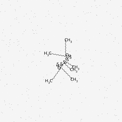 CCCCCCCCCCCCC1(CCCCCCCCCCCC)Oc2ccsc2-c2sc(-c3sc(-c4cc5c(s4)-c4sccc4OC5(CCCCCCCCCCCC)CCCCCCCCCCCC)c(CCCCCC)c3CCCCCC)cc21